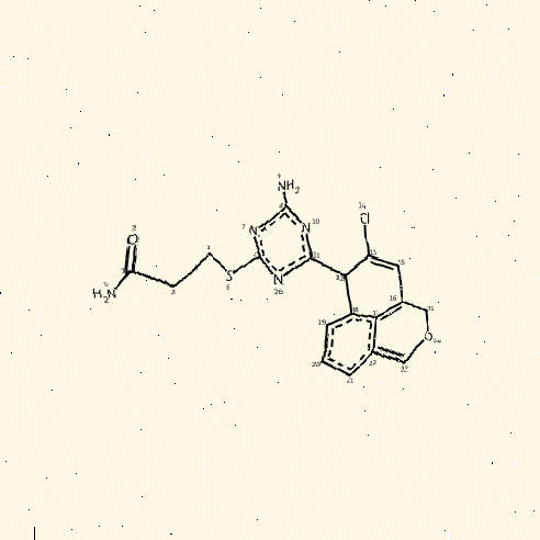 NC(=O)CCSc1nc(N)nc(C2C(Cl)=CC3=c4c2cccc4=COC3)n1